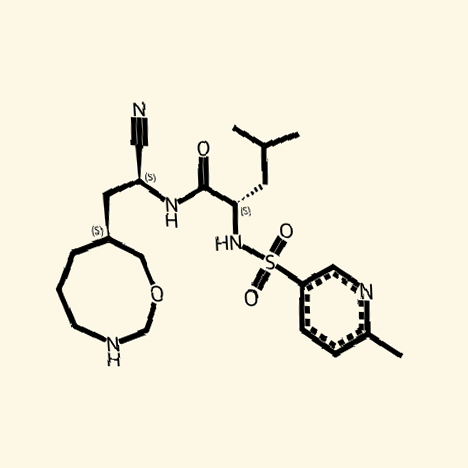 Cc1ccc(S(=O)(=O)N[C@@H](CC(C)C)C(=O)N[C@H](C#N)C[C@@H]2CCCNCOC2)cn1